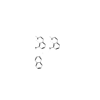 Cc1ccc2cccc(C(=O)O)c2n1.Cc1ccc2cccc(C(=O)O)c2n1.Oc1ccc2ccccc2c1.[Ga]